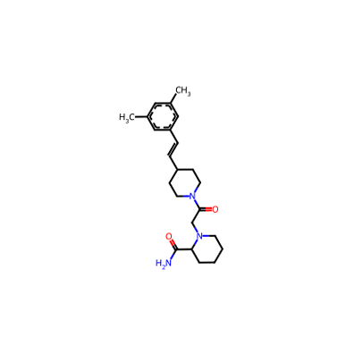 Cc1cc(C)cc(/C=C/C2CCN(C(=O)CN3CCCCC3C(N)=O)CC2)c1